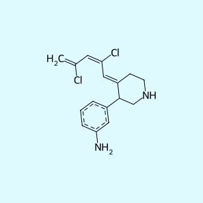 C=C(Cl)/C=C(Cl)\C=C1/CCNCC1c1cccc(N)c1